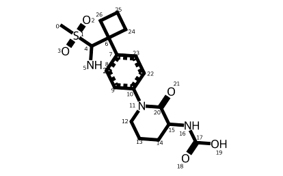 CS(=O)(=O)C(N)C1(c2ccc(N3CCCC(NC(=O)O)C3=O)cc2)CCC1